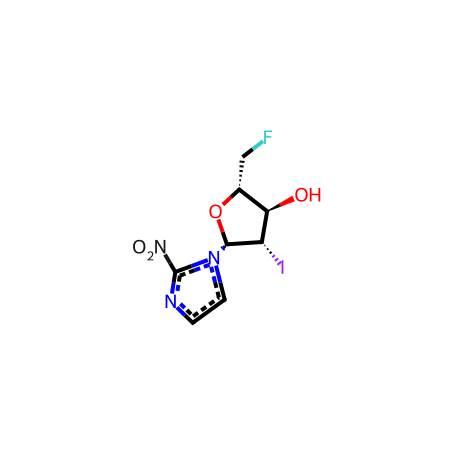 O=[N+]([O-])c1nccn1[C@@H]1O[C@H](CF)[C@@H](O)[C@@H]1I